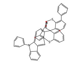 c1ccc(-c2cccc3c2Sc2cccc(-c4ccc5c6ccccc6n(-c6ccccc6)c5c4)c2C32c3ccccc3Sc3ccccc32)cc1